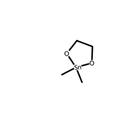 [CH3][Sn]1([CH3])[O]CC[O]1